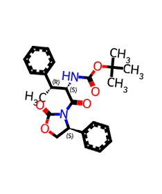 C[C@H](c1ccccc1)[C@H](NC(=O)OC(C)(C)C)C(=O)N1C(=O)OC[C@@H]1c1ccccc1